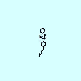 FC(F)(c1ccccc1)C(F)(F)c1ccc(CCCI)cc1